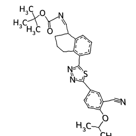 CC(C)Oc1ccc(-c2nnc(-c3cccc4c3CCCC4/C=N\C(=O)OC(C)(C)C)s2)cc1C#N